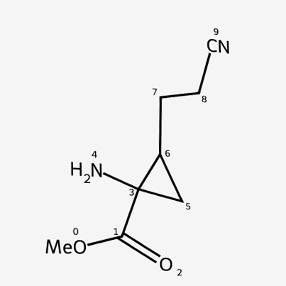 COC(=O)C1(N)CC1CCC#N